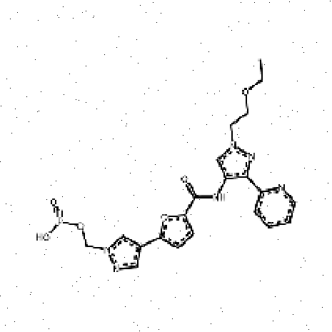 CCOCCn1cc(NC(=O)c2ccc(-c3cnn(CO[PH](=O)O)c3)o2)c(-c2ccccn2)n1